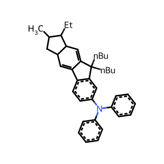 CCCCC1(CCCC)C2=CC3C(C=C2c2ccc(N(c4ccccc4)c4ccccc4)cc21)CC(C)C3CC